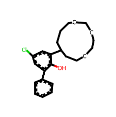 Oc1c(-c2ccccc2)cc(Cl)cc1C1CCCCCCCCCCC1